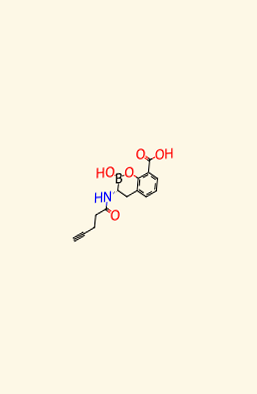 C#CCCC(=O)N[C@H]1Cc2cccc(C(=O)O)c2OB1O